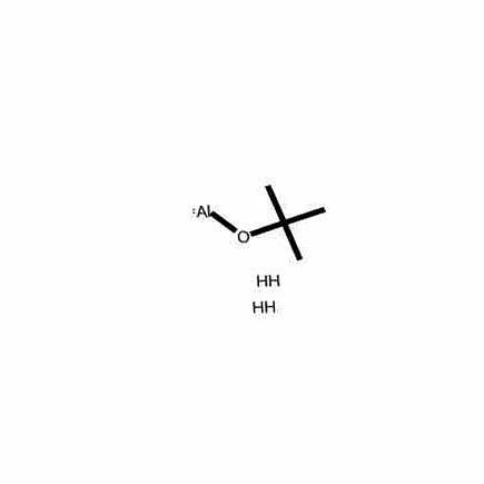 CC(C)(C)[O][Al].[HH].[HH]